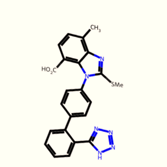 CSc1nc2c(C)ccc(C(=O)O)c2n1-c1ccc(-c2ccccc2-c2nnn[nH]2)cc1